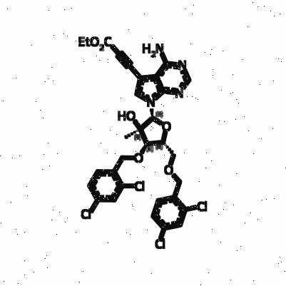 CCOC(=O)C#Cc1cn([C@@H]2O[C@H](COCc3ccc(Cl)cc3Cl)[C@@H](OCc3ccc(Cl)cc3Cl)[C@@]2(C)O)c2ncnc(N)c12